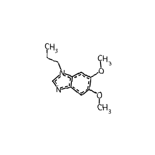 CCCn1cnc2cc(OC)c(OC)cc21